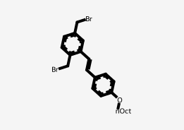 CCCCCCCCOc1ccc(C=Cc2cc(CBr)ccc2CBr)cc1